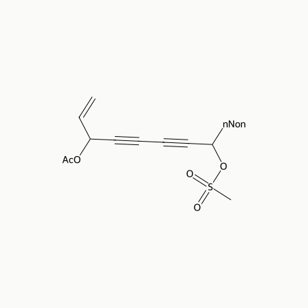 C=CC(C#CC#CC(CCCCCCCCC)OS(C)(=O)=O)OC(C)=O